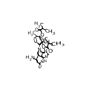 CC(C)C(=O)O[C@@H]1C(C)O[C@@H](n2cc3c4c(ncnc42)NC(=O)C=C3N)C1(C)OC(=O)C(C)C